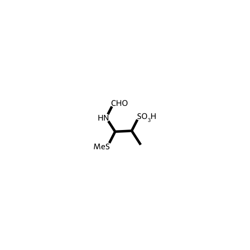 CSC(NC=O)C(C)S(=O)(=O)O